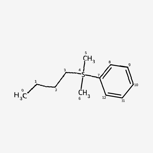 CCCCS(C)(C)c1ccccc1